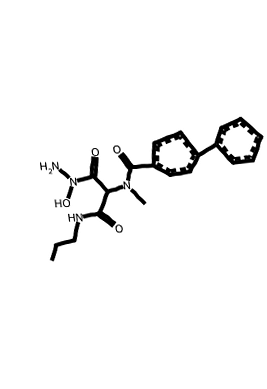 CCCNC(=O)C(C(=O)N(N)O)N(C)C(=O)c1ccc(-c2ccccc2)cc1